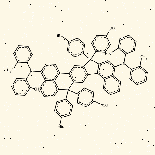 Cc1ccccc1N(c1ccccc1C)c1cc2c(c3ccccc13)-c1cc3c(cc1C2(c1ccc(C(C)(C)C)cc1)c1ccc(C(C)(C)C)cc1)-c1ccc(N(c2ccccc2C)c2ccccc2C)c2cccc(c12)C3(c1ccc(C(C)(C)C)cc1)c1ccc(C(C)(C)C)cc1